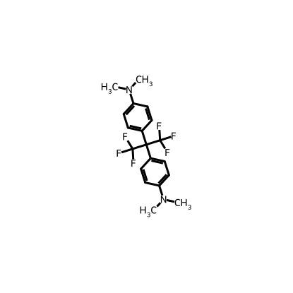 CN(C)c1ccc(C(c2ccc(N(C)C)cc2)(C(F)(F)F)C(F)(F)F)cc1